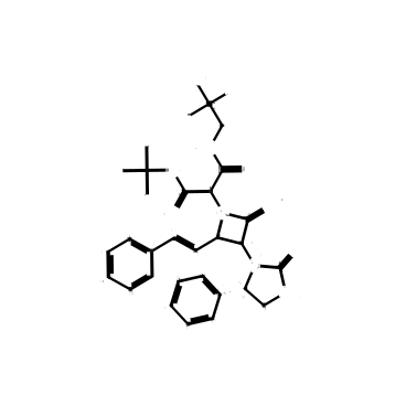 CC(C)(C)OC(=O)C(C(=O)OCC(Cl)(Cl)Cl)N1C(=O)C(N2C(=O)OC[C@@H]2c2ccccc2)C1C=Cc1ccccc1